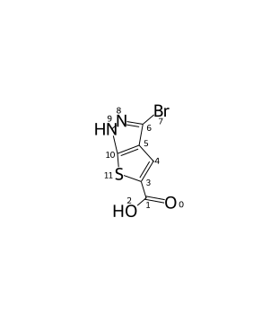 O=C(O)c1cc2c(Br)n[nH]c2s1